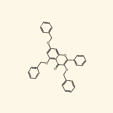 O=c1c(OCc2ccccc2)c(-c2ccccc2)oc2cc(OCc3ccccc3)cc(OCc3ccccc3)c12